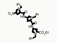 CCOC(=O)c1cc(NC(=O)c2cc(NC(=O)c3cc([N+](=O)[O-])cn3CC(C)C)cn2CC(C)C)cn1CC(C)C